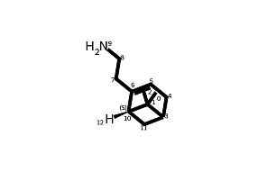 CC1(C)C2CC=C(CCN)[C@H]1C2